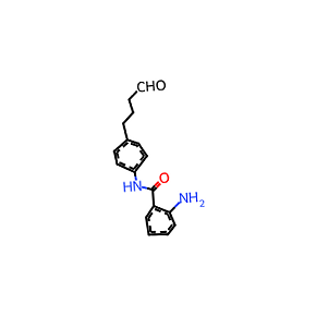 Nc1ccccc1C(=O)Nc1ccc(CCCC=O)cc1